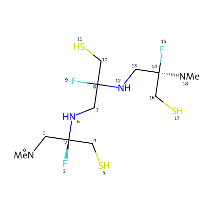 CNC[C@@](F)(CS)NCC(F)(CS)NC[C@@](F)(CS)NC